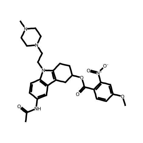 COc1ccc(C(=O)OC2CCc3c(c4cc(NC(C)=O)ccc4n3CCN3CCN(C)CC3)C2)c([N+](=O)[O-])c1